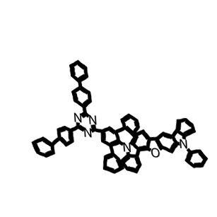 c1ccc(-c2ccc(-c3nc(-c4ccc(-c5ccccc5)cc4)nc(-c4cc(-c5ccccc5)c(-n5c6ccccc6c6c7oc8cc9c(cc8c7ccc65)c5ccccc5n9-c5ccccc5)c(-c5ccccc5)c4)n3)cc2)cc1